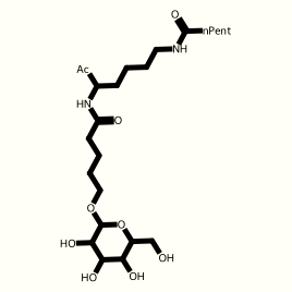 CCCCCC(=O)NCCCCC(NC(=O)CCCCOC1OC(CO)C(O)C(O)C1O)C(C)=O